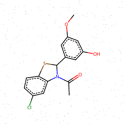 COc1cc(O)cc(C2Sc3ccc(Cl)cc3N2C(C)=O)c1